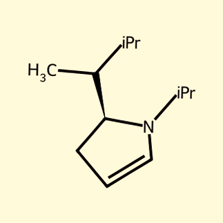 CC(C)C(C)[C@@H]1CC=CN1C(C)C